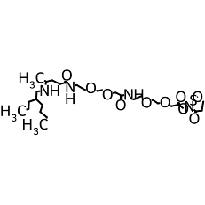 CCCCC(CCC)CNC(C)CCC(=O)NCCOCCOCC(=O)NCCOCCOCC(=O)ON1SOCCC1=O